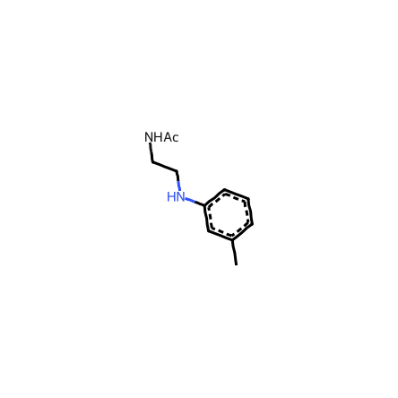 CC(=O)NCCNc1cccc(C)c1